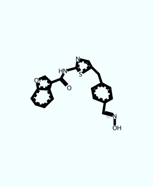 O=C(Nc1ncc(Cc2ccc(/C=N/O)cc2)s1)c1coc2ccccc12